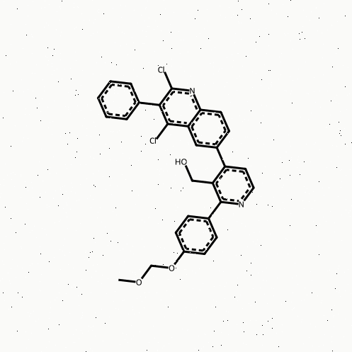 COCOc1ccc(-c2nccc(-c3ccc4nc(Cl)c(-c5ccccc5)c(Cl)c4c3)c2CO)cc1